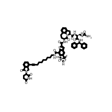 NC(=O)NC[C@H](NC(=O)[C@@H]1Cc2cccc3c2N1C(=O)[C@@H](NC(=O)c1cc2cc(C(F)(F)P(=O)(O)O)cc(C(=O)NCCCCCCCCC#Cc4cccc5c4CN(C4CCC(=O)NC4=O)C5=O)c2s1)CC3)C(=O)NC(c1ccccc1)c1ccccc1